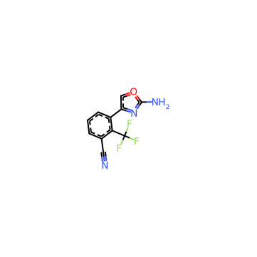 N#Cc1cccc(-c2coc(N)n2)c1C(F)(F)F